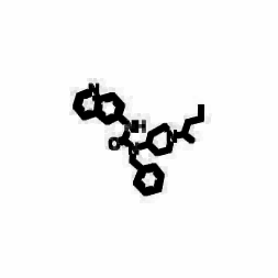 CCCC(C)N1CCC(N(Cc2ccccc2)C(=O)Nc2ccc3ncccc3c2)CC1